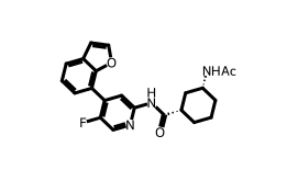 CC(=O)N[C@@H]1CCC[C@H](C(=O)Nc2cc(-c3cccc4ccoc34)c(F)cn2)C1